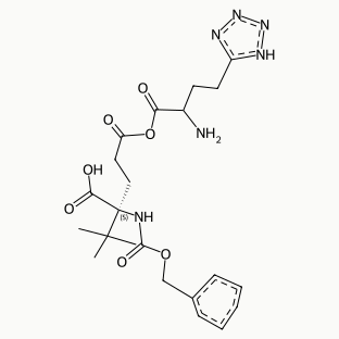 CC(C)(C)[C@](CCC(=O)OC(=O)C(N)CCc1nnn[nH]1)(NC(=O)OCc1ccccc1)C(=O)O